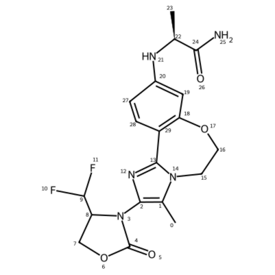 Cc1c(N2C(=O)OCC2C(F)F)nc2n1CCOc1cc(N[C@@H](C)C(N)=O)ccc1-2